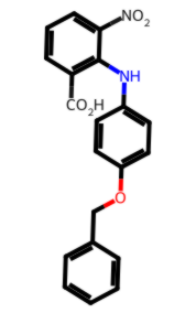 O=C(O)c1cccc([N+](=O)[O-])c1Nc1ccc(OCc2ccccc2)cc1